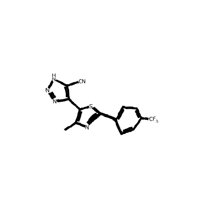 Cc1nc(-c2ccc(C(F)(F)F)cc2)sc1-c1nn[nH]c1C#N